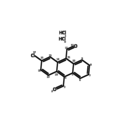 Cl.Cl.O=Cc1c2ccccc2c(C=O)c2cc(Cl)ccc12